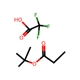 CCC(=O)OC(C)(C)C.O=C(O)C(F)(F)F